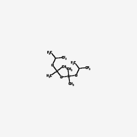 C[Si](C)(OC(C(F)(F)F)C(F)(F)F)O[Si](C)(C)OC(C(F)(F)F)C(F)(F)F